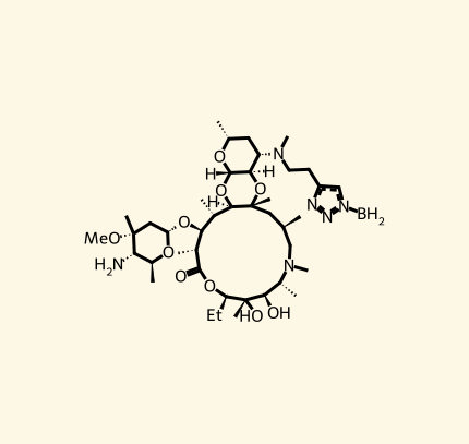 Bn1cc(CCN(C)[C@H]2C[C@@H](C)O[C@H]3O[C@@H]4[C@@H](C)[C@H](O[C@H]5C[C@@](C)(OC)[C@@H](N)[C@H](C)O5)[C@@H](C)C(=O)O[C@H](CC)[C@@](C)(O)[C@H](O)[C@@H](C)N(C)C[C@H](C)C[C@@]4(C)O[C@@H]32)nn1